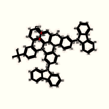 CC(C)(C)c1ccc(N2c3cc(-n4c5ccccc5c5ccccc54)ccc3B3c4ccc(-n5c6ccccc6c6ccccc65)cc4Sc4cc(Cl)cc2c43)c(-c2ccccc2)c1